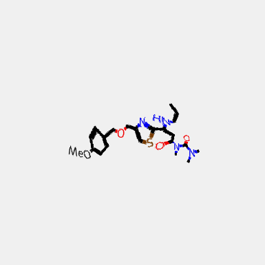 C/C=C\N/C(=C/C(=O)N(C)C(=O)N(C)C)c1nc(COCc2ccc(OC)cc2)cs1